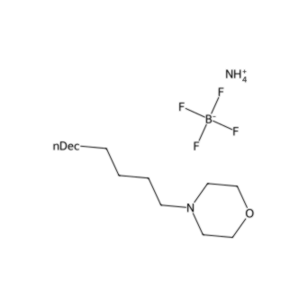 CCCCCCCCCCCCCCN1CCOCC1.F[B-](F)(F)F.[NH4+]